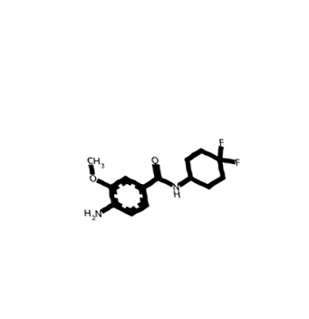 COc1cc(C(=O)NC2CCC(F)(F)CC2)ccc1N